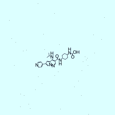 CC(C)Nc1c(C(=O)N[C@H]2CC[C@H](NC(=O)O)CC2)cnn2cc(-c3ccncc3)cc12